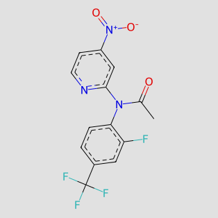 CC(=O)N(c1cc([N+](=O)[O-])ccn1)c1ccc(C(F)(F)F)cc1F